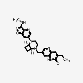 CCc1cc2ncc(CN3CCN(c4cnc5c(NC)noc5c4)[C@@H]4CC[C@@H]43)cc2[nH]c1=O